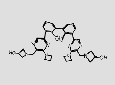 OC1CN(Cc2ncc(-c3cccc(-c4cccc(-c5cnc(CN6CC(O)C6)c(N6CCC6)n5)c4Cl)c3Cl)nc2N2CCC2)C1